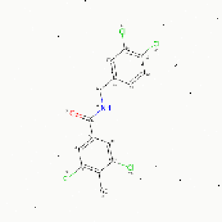 CC(=O)c1c(Cl)cc(C(=O)NCc2ccc(Cl)c(Cl)c2)cc1Cl